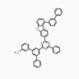 Cc1cccc(-c2cc(-c3ccccc3)cc(-c3nc(-c4ccccc4)nc(-c4ccc5c(c4)oc4cccc(-c6cccc(-c7ccccc7)c6)c45)n3)c2)c1